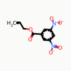 C=CCOC(=O)c1cc([N+](=O)[O-])cc([N+](=O)[O-])c1